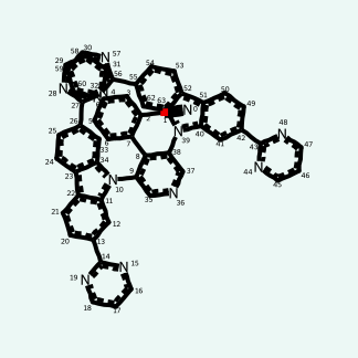 N#Cc1ccccc1-c1c(-n2c3cc(-c4ncccn4)ccc3c3ccc(-c4ncccn4)cc32)cncc1-n1c2cc(-c3ncccn3)ccc2c2ccc(-c3ncccn3)cc21